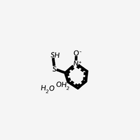 O.O.[O-][n+]1ccccc1SS